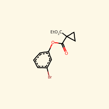 CCOC(=O)C1(C(=O)Oc2cccc(Br)c2)CC1